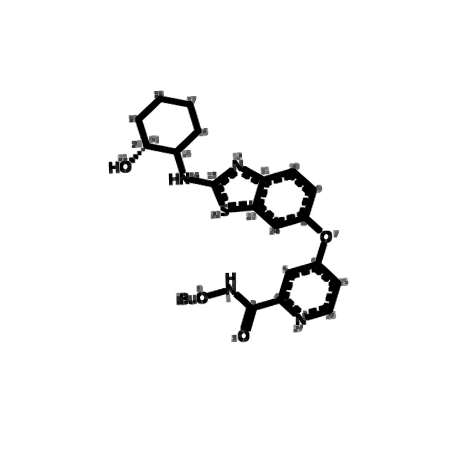 CC(C)CONC(=O)c1cc(Oc2ccc3nc(NC4CCCC[C@H]4O)sc3c2)ccn1